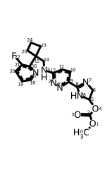 COC(=O)OC1CN=C(c2ccc(NCC3(c4ncccc4F)CCC3)nn2)N1